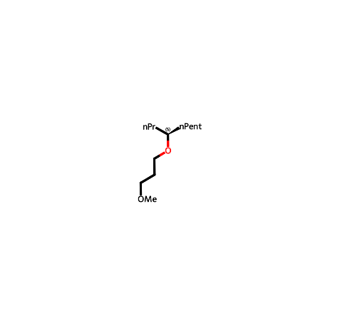 CCCCC[C@H](CCC)OCCCOC